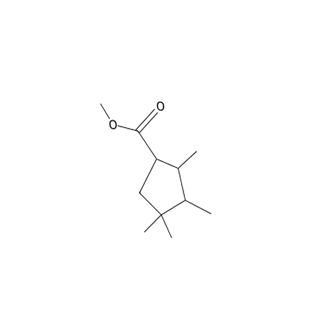 COC(=O)C1CC(C)(C)C(C)C1C